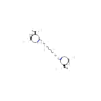 C=C1C(=O)O[C@H]2[C@H]1CC/C(CNC(=O)NCCCCNC(=O)NC/C1=C/CC[C@@]3(C)O[C@H]3[C@H]3OC(=O)C(=C)[C@@H]3CC1)=C\CC[C@@]1(C)O[C@@H]21